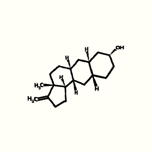 C=C1CC[C@@H]2[C@H]3C[C@H]4CC[C@@H](O)C[C@@H]4C[C@@H]3CC[C@@]12C